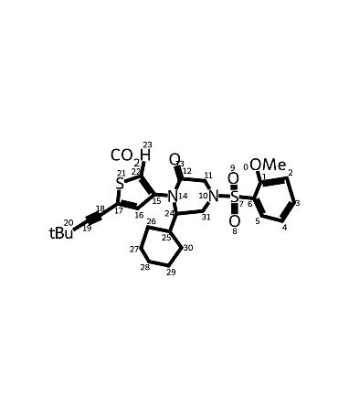 COc1ccccc1S(=O)(=O)N1CC(=O)N(c2cc(C#CC(C)(C)C)sc2C(=O)O)C(C2CCCCC2)C1